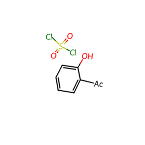 CC(=O)c1ccccc1O.O=S(=O)(Cl)Cl